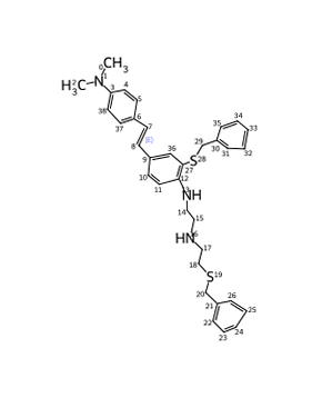 CN(C)c1ccc(/C=C/c2ccc(NCCNCCSCc3ccccc3)c(SCc3ccccc3)c2)cc1